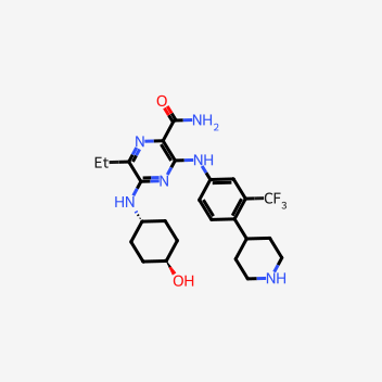 CCc1nc(C(N)=O)c(Nc2ccc(C3CCNCC3)c(C(F)(F)F)c2)nc1N[C@H]1CC[C@H](O)CC1